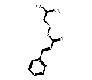 CC(C)COOC(=O)/C=C/c1ccccc1